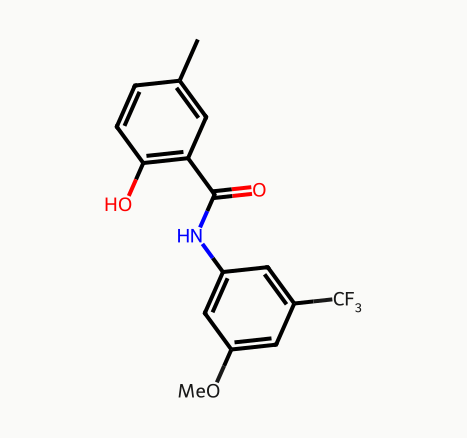 COc1cc(NC(=O)c2cc(C)ccc2O)cc(C(F)(F)F)c1